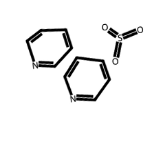 O=S(=O)=O.c1ccncc1.c1ccncc1